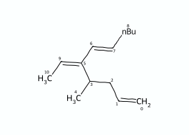 C=CCC(C)C(C=CCCCC)=CC